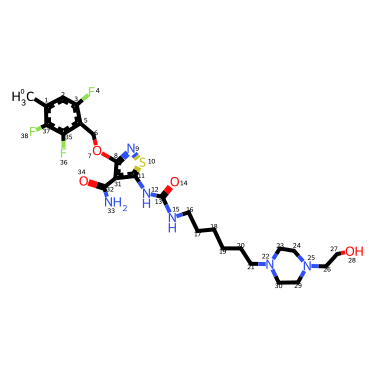 Cc1cc(F)c(COc2nsc(NC(=O)NCCCCCCN3CCN(CCO)CC3)c2C(N)=O)c(F)c1F